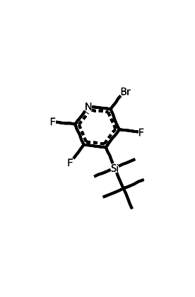 CC(C)(C)[Si](C)(C)c1c(F)c(F)nc(Br)c1F